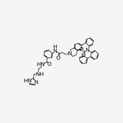 O=C(CCN1CCC(OC(=O)N(c2ccccc2-c2ccccc2)c2ccccc2-c2ccccc2)CC1)Nc1cccc(C(=O)NCCNCc2ncc[nH]2)c1